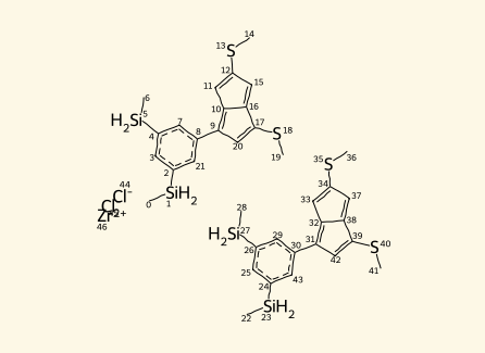 C[SiH2]c1cc([SiH2]C)cc(C2=C3C=C(SC)C=C3C(SC)=C2)c1.C[SiH2]c1cc([SiH2]C)cc(C2=C3C=C(SC)C=C3C(SC)=C2)c1.[Cl-].[Cl-].[Zr+2]